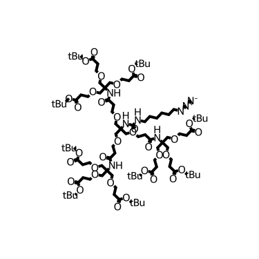 CC(C)(C)OC(=O)CCOCC(COCCC(=O)OC(C)(C)C)(COCCC(=O)OC(C)(C)C)NC(=O)CCOCC(COCCC(=O)NC(COCCC(=O)OC(C)(C)C)(COCCC(=O)OC(C)(C)C)COCCC(=O)OC(C)(C)C)(COCCC(=O)NC(COCCC(=O)OC(C)(C)C)(COCCC(=O)OC(C)(C)C)COCCC(=O)OC(C)(C)C)NC(=O)NCCCCCCN=[N+]=[N-]